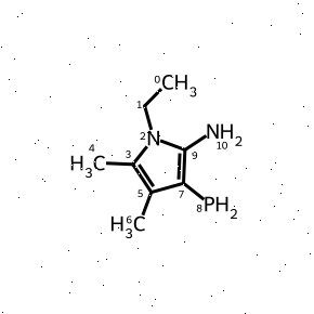 CCn1c(C)c(C)c(P)c1N